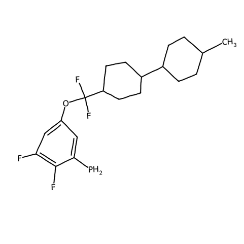 CC1CCC(C2CCC(C(F)(F)Oc3cc(F)c(F)c(P)c3)CC2)CC1